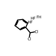 ClC(Cl)c1ccccc1.F.F.F